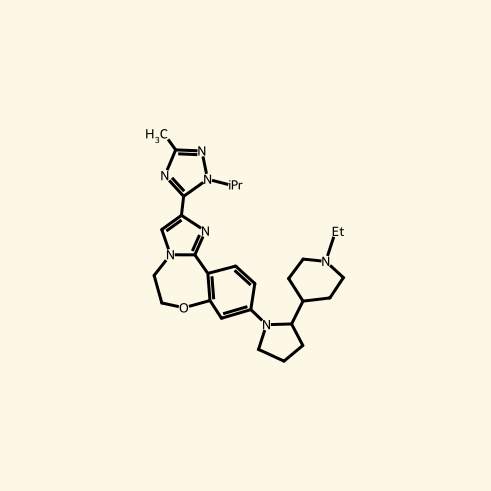 CCN1CCC(C2CCCN2c2ccc3c(c2)OCCn2cc(-c4nc(C)nn4C(C)C)nc2-3)CC1